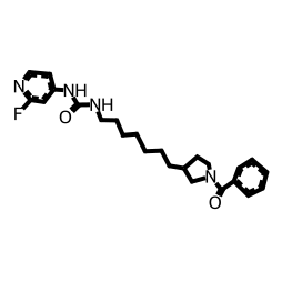 O=C(NCCCCCCCC1CCN(C(=O)c2ccccc2)C1)Nc1ccnc(F)c1